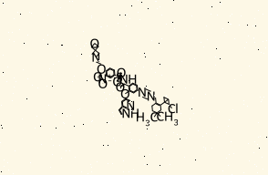 CC1(C)CCC(CN2CCN(c3ccc(C(=O)NS(=O)(=O)c4ccc(OCCN5CC6(COC6)C5)c([N+](=O)[O-])c4)c(Oc4cnc5[nH]ccc5c4)c3)CC2)=C(C23CC2C3Cl)C1